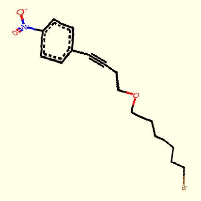 O=[N+]([O-])c1ccc(C#CCCOCCCCCCBr)cc1